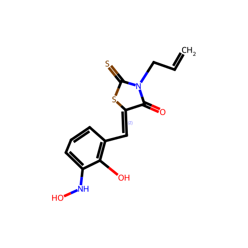 C=CCN1C(=O)/C(=C/c2cccc(NO)c2O)SC1=S